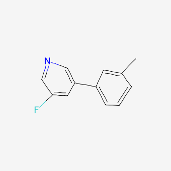 Cc1cccc(-c2cncc(F)c2)c1